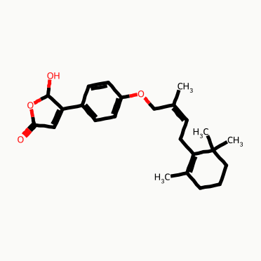 CC(=CCC1=C(C)CCCC1(C)C)COc1ccc(C2=CC(=O)OC2O)cc1